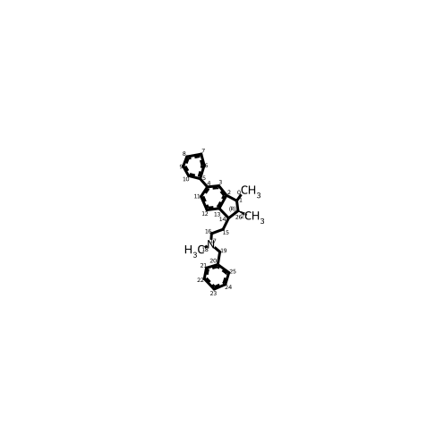 CC1c2cc(-c3ccccc3)ccc2C(CCN(C)Cc2ccccc2)[C@@H]1C